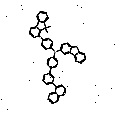 CC1(C)c2ccccc2-c2cccc(-c3ccc(N(c4ccc(-c5cccc(-c6cccc7ccccc67)c5)cc4)c4ccc5sc6ccccc6c5c4)cc3)c21